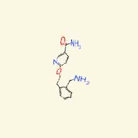 NCc1ccccc1CCOc1ccc(C(N)=O)cn1